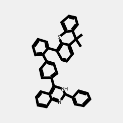 CC1(C)c2ccccc2Sc2c(-c3ccccc3-c3ccc(C4=c5ccccc5=NC(c5ccccc5)N4)cc3)cccc21